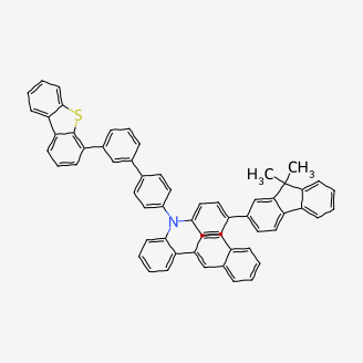 CC1(C)c2ccccc2-c2ccc(-c3ccc(N(c4ccc(-c5cccc(-c6cccc7c6sc6ccccc67)c5)cc4)c4ccccc4-c4ccc5ccccc5c4)cc3)cc21